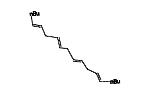 [CH2]CCCC=CCC=CCC=CCC=CCCCC